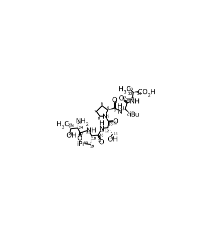 CC[C@H](C)[C@H](NC(=O)[C@@H]1CCCN1C(=O)[C@H](CO)NC(=O)[C@H](CC(C)C)NC(=O)[C@@H](N)[C@@H](C)O)C(=O)N[C@@H](C)C(=O)O